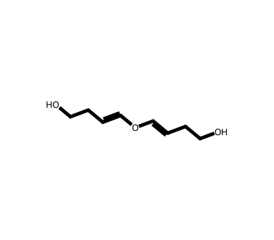 OCCC=COC=CCCO